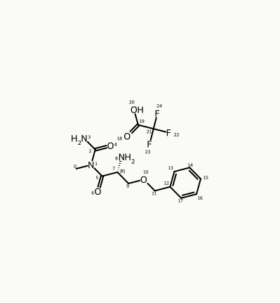 CN(C(N)=O)C(=O)[C@H](N)COCc1ccccc1.O=C(O)C(F)(F)F